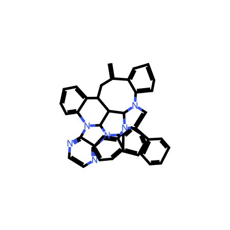 C=C1CC2c3ccccc3N3c4nccnc4N(c4ccccc4)C3C2C2N(C=C(c3ccccc3)N2c2ccccc2)c2ccccc21